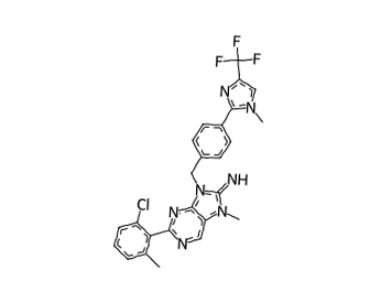 Cc1cccc(Cl)c1-c1ncc2c(n1)n(Cc1ccc(-c3nc(C(F)(F)F)cn3C)cc1)c(=N)n2C